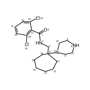 O=C(NCC1(N2CCNCC2)CCCCCC1)c1c(Cl)cccc1Cl